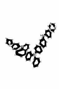 c1ccc(N(c2ccccc2)c2ccccc2)cc1.c1ccc(Nc2ccccc2)cc1.c1ccc2ncccc2c1.c1ccncc1.c1ccsc1.c1ncncn1